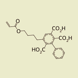 C=CC(=O)OCCCCc1cc(C(=O)O)c(C(=O)O)c(-c2ccccc2)c1C(=O)O